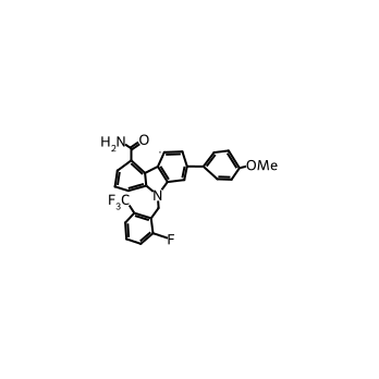 COc1ccc(-c2c[c]c3c4c(C(N)=O)cccc4n(Cc4c(F)cccc4C(F)(F)F)c3c2)cc1